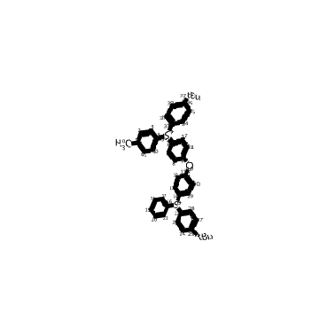 Cc1ccc([S+](c2ccc(Oc3ccc([S+](c4ccccc4)c4ccc(C(C)(C)C)cc4)cc3)cc2)c2ccc(C(C)(C)C)cc2)cc1